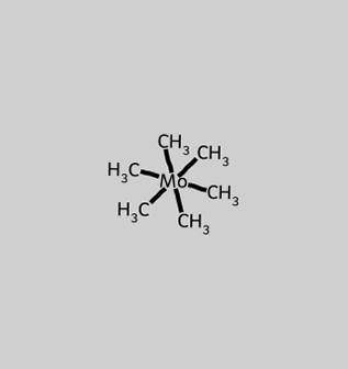 [CH3][Mo]([CH3])([CH3])([CH3])([CH3])[CH3]